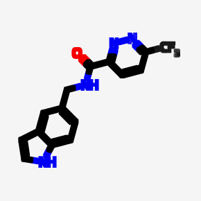 O=C(NCc1ccc2[nH]ccc2c1)c1ccc(C(F)(F)F)nn1